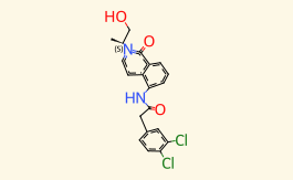 C[C@@H](CO)n1ccc2c(NC(=O)Cc3ccc(Cl)c(Cl)c3)cccc2c1=O